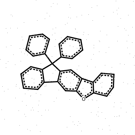 c1ccc(C2(c3ccccc3)c3ccccc3-c3cc4oc5ccccc5c4cc32)cc1